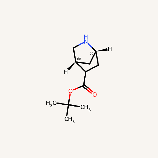 CC(C)(C)OC(=O)C1C[C@@H]2C[C@H]1CN2